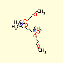 C=COCCCCOC(=O)N(C)CCCCCC(C)N(C)C(=O)OCCCCOC=C